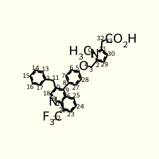 Cn1c(COc2ccc(-c3c(Cc4ccccc4)cnc4c(C(F)(F)F)cccc34)cc2)ccc1CC(=O)O